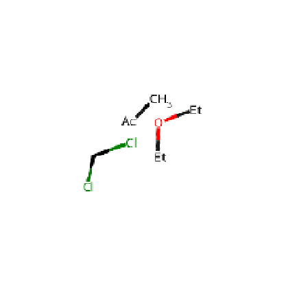 CC(C)=O.CCOCC.ClCCl